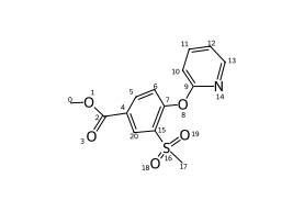 COC(=O)c1ccc(Oc2ccccn2)c(S(C)(=O)=O)c1